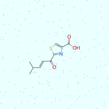 CC(C)/C=C/C(=O)c1nc(C(=O)O)cs1